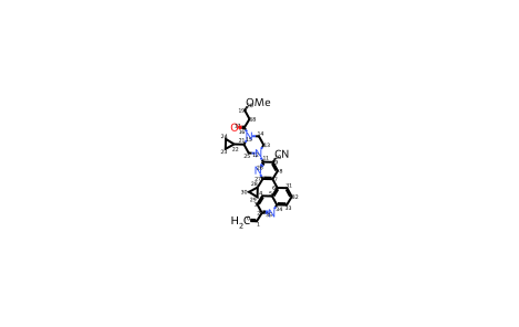 C=Cc1ccc2c(-c3cc(C#N)c(N4CCN(C(=O)CCOC)C(C5CC5)C4)nc3C3CC3)cccc2n1